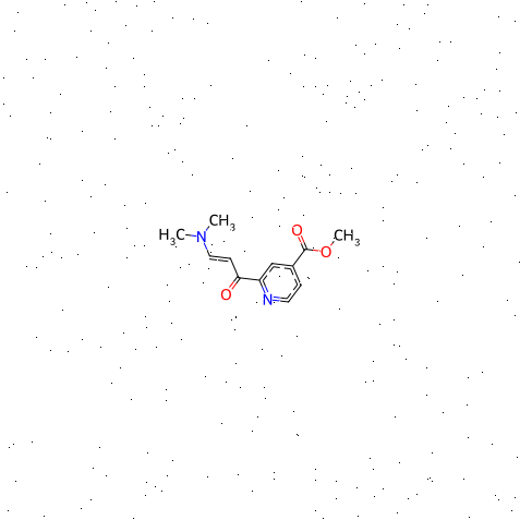 COC(=O)c1ccnc(C(=O)C=CN(C)C)c1